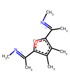 C/N=C(\C)c1oc(/C(C)=N/C)c(C)c1C